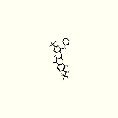 CC(C(=O)N(C)Cc1ccc(C(F)(F)Cl)nc1OC1CCCCC1)c1ccc(NS(C)(=O)=O)c(F)c1